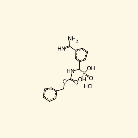 Cl.N=C(N)c1cccc(C(NC(=O)OCc2ccccc2)P(=O)(O)O)c1